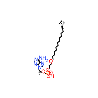 C[C@H](Cn1cnc2c(N)ncnc21)OCP(=O)(O)OCCCOCCCCCCCCCCCCCC#C[Si](C)(C)C